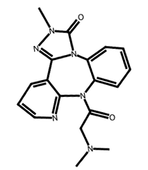 CN(C)CC(=O)N1c2ccccc2-n2c(nn(C)c2=O)-c2cccnc21